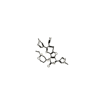 CC[C@H]1C[C@@H](n2c(=O)nc(-c3cnn(C)c3)c3oc4cc(C#N)c(-c5cnn(C)c5)nc4c32)CCO1